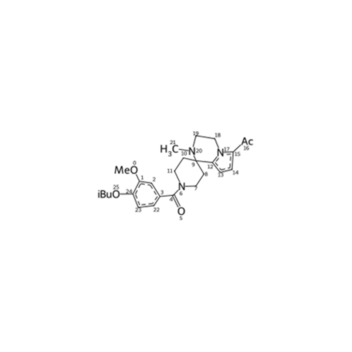 COc1cc(C(=O)N2CCC3(CC2)c2ccc(C(C)=O)n2CCN3C)ccc1OCC(C)C